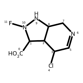 O=C(O)C1C2C(Cl)C=NCC2NN1F